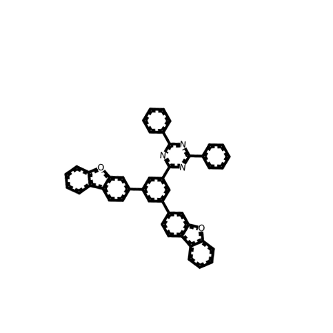 c1ccc(-c2nc(-c3ccccc3)nc(-c3cc(-c4ccc5c(c4)oc4ccccc45)cc(-c4ccc5c(c4)oc4ccccc45)c3)n2)cc1